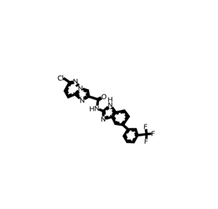 O=C(Nc1nc2cc(-c3cccc(C(F)(F)F)c3)ccc2[nH]1)c1cn2nc(Cl)ccc2n1